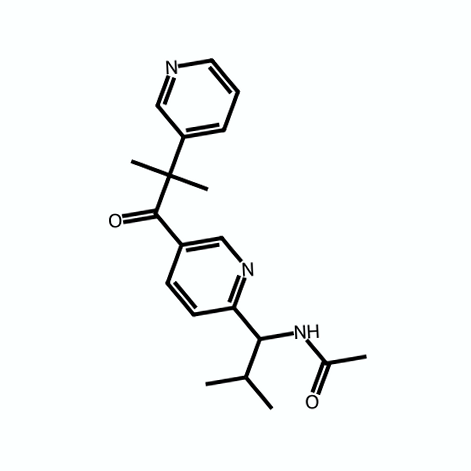 CC(=O)NC(c1ccc(C(=O)C(C)(C)c2cccnc2)cn1)C(C)C